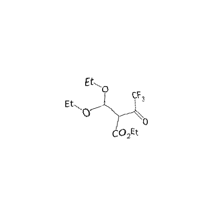 CCOC(=O)C(C(=O)C(F)(F)F)C(OCC)OCC